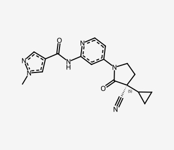 Cn1cc(C(=O)Nc2cc(N3CC[C@@](C#N)(C4CC4)C3=O)ccn2)cn1